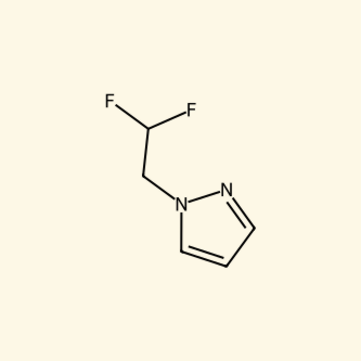 FC(F)Cn1cccn1